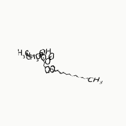 CCCCCCCCCCCCCOc1cccc(CC(COP(O)OCCCN(C)C)OC=O)c1